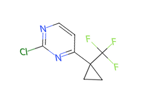 FC(F)(F)C1(c2ccnc(Cl)n2)CC1